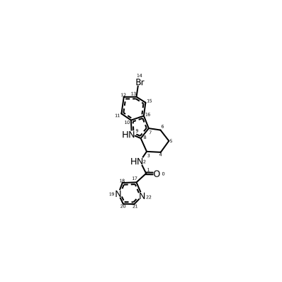 O=C(NC1CCCc2c1[nH]c1ccc(Br)cc21)c1cnccn1